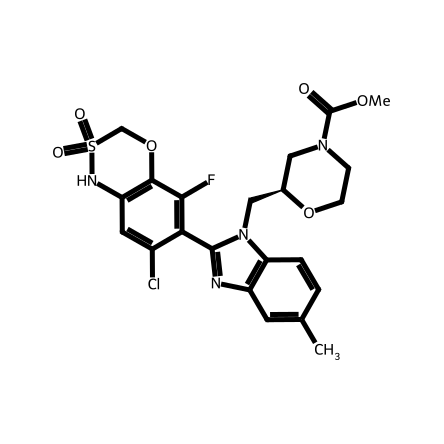 COC(=O)N1CCO[C@@H](Cn2c(-c3c(Cl)cc4c(c3F)OCS(=O)(=O)N4)nc3cc(C)ccc32)C1